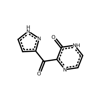 O=C(c1cc[nH]n1)c1ncc[nH]c1=O